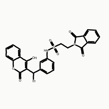 CCC(c1cccc(NS(=O)(=O)CCN2C(=O)c3ccccc3C2=O)c1)c1c(O)c2ccccc2oc1=O